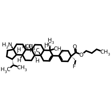 CCCCOC(=O)[C@@]1(CF)CC=C(C2=CC[C@]3(C)[C@H]4CC[C@@H]5[C@H]6[C@H](C(C)C)CC[C@]6(N)CC[C@@]5(C)[C@]4(C)CC[C@H]3C2(C)C)CC1